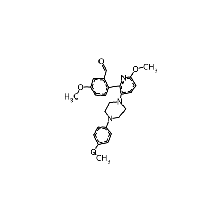 COc1ccc(N2CCN(c3ccc(OC)nc3-c3ccc(OC)cc3C=O)CC2)cc1